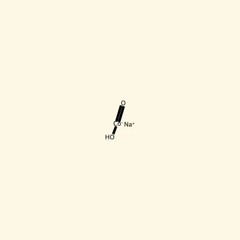 [Na+].[O]=[Co-][OH]